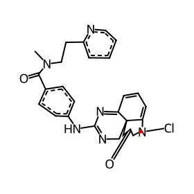 CN(CCc1ccccn1)C(=O)c1ccc(NC2=NCC34CC(=O)CCN(Cl)C3=CC=CC4=N2)cc1